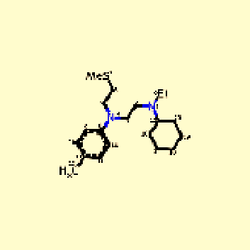 CCN(CCN(CCSC)c1ccc(C)cc1)C1CCCCC1